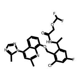 Cc1cc(-n2ncnc2C)c2cccc(OCc3c(Cl)cc(F)cc3C(C)NC(=O)COC(F)F)c2n1